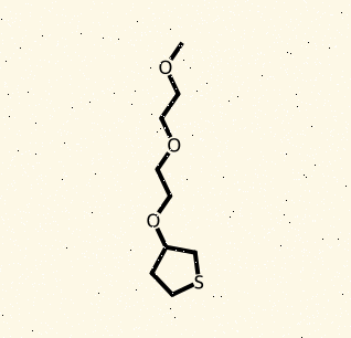 COCCOCCOC1CCSC1